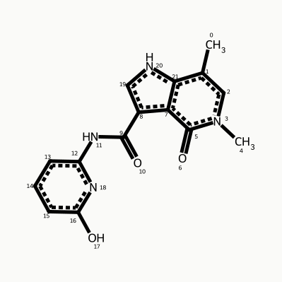 Cc1cn(C)c(=O)c2c(C(=O)Nc3cccc(O)n3)c[nH]c12